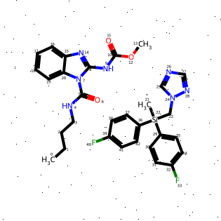 CCCCNC(=O)n1c(NC(=O)OC)nc2ccccc21.C[Si](Cn1cncn1)(c1ccc(F)cc1)c1ccc(F)cc1